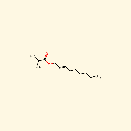 CCCCCCC=CCOC(=O)C(C)C